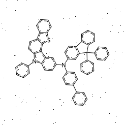 c1ccc(-c2ccc(N(c3ccc4c(c3)C(c3ccccc3)(c3ccccc3)c3ccccc3-4)c3ccc4c(c3)c3c5sc6ccccc6c5ccc3n4-c3ccccc3)cc2)cc1